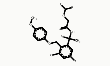 [2H]C(C)(NC(=O)COC(F)F)c1cc(F)cc(Cl)c1COc1ccc(OC)cc1